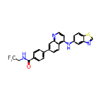 O=C(NCC(F)(F)F)c1ccc(-c2ccc3c(Nc4ccc5scnc5c4)ccnc3c2)cc1